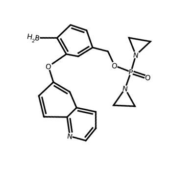 Bc1ccc(COP(=O)(N2CC2)N2CC2)cc1Oc1ccc2ncccc2c1